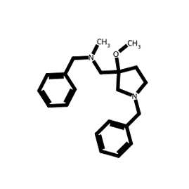 COC1(CN(C)Cc2ccccc2)CCN(Cc2ccccc2)C1